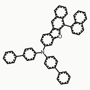 c1ccc(-c2ccc(N(c3ccc(-c4ccccc4)cc3)c3ccc4c(c3)oc3c(-c5cccc6ccccc56)c5ccccc5cc34)cc2)cc1